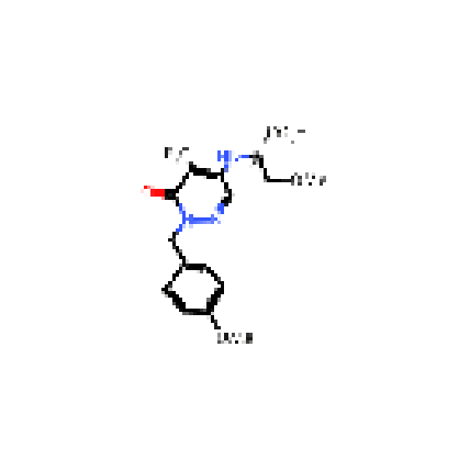 COC[C@H](Nc1cnn(Cc2ccc(OC)cc2)c(=O)c1C(F)(F)F)C(=O)O